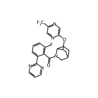 O=C(c1c(F)cccc1-c1ncccn1)N1CC2CCC1C(Oc1cnc(C(F)(F)F)cn1)C2